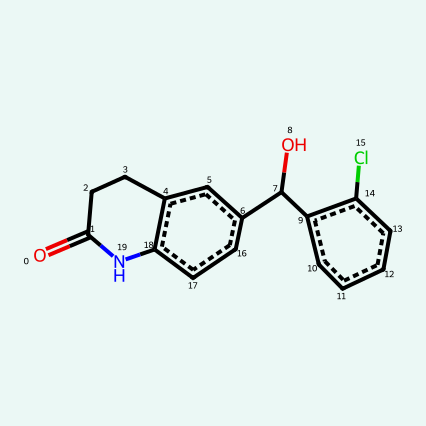 O=C1CCc2cc(C(O)c3ccccc3Cl)ccc2N1